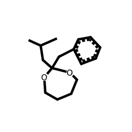 CC(C)CC1(Cc2ccccc2)OCCCCO1